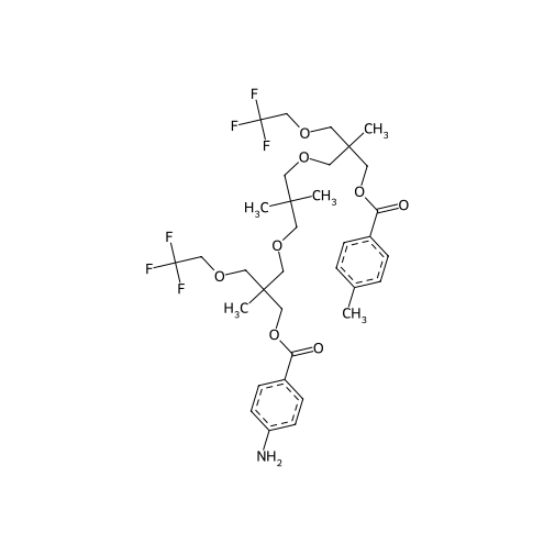 Cc1ccc(C(=O)OCC(C)(COCC(F)(F)F)COCC(C)(C)COCC(C)(COCC(F)(F)F)COC(=O)c2ccc(N)cc2)cc1